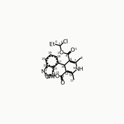 CCC(Cl)OC(=O)C1=C(C)NC(C)=C(C(=O)OC)C1c1cccc2nonc12